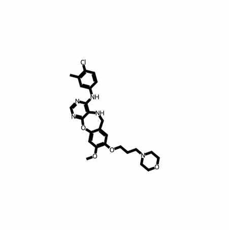 COc1cc2c(cc1OCCCN1CCOCC1)CNc1c(Nc3ccc(Cl)c(C)c3)ncnc1O2